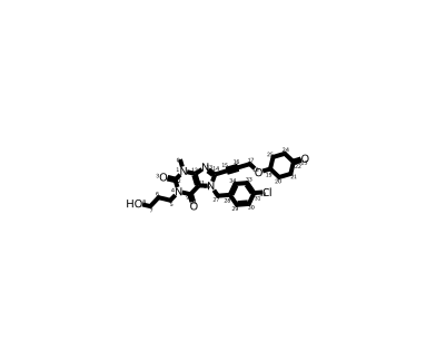 Cn1c(=O)n(CCCO)c(=O)c2c1nc(C#CCOC1CCC(=O)CC1)n2Cc1ccc(Cl)cc1